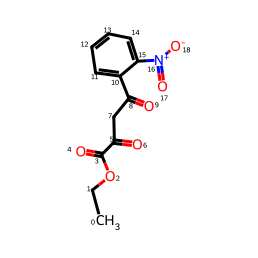 CCOC(=O)C(=O)CC(=O)c1ccccc1[N+](=O)[O-]